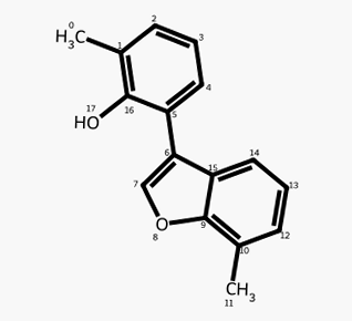 Cc1cccc(-c2coc3c(C)cccc23)c1O